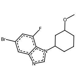 COC1CCCC(n2cnc3cc(Br)cc(F)c32)C1